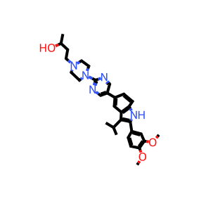 COc1ccc(-c2[nH]c3ccc(-c4cnc(N5CCN(CCC(C)O)CC5)nc4)cc3c2C(C)C)cc1OC